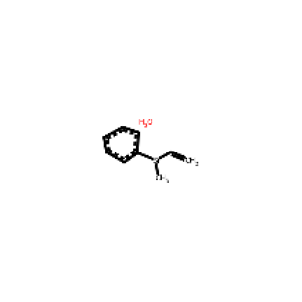 C=C[Si](C)c1ccccc1.O